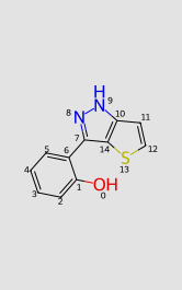 Oc1ccccc1-c1n[nH]c2ccsc12